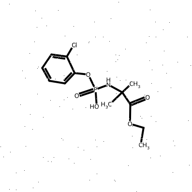 CCOC(=O)C(C)(C)NP(=O)(O)Oc1ccccc1Cl